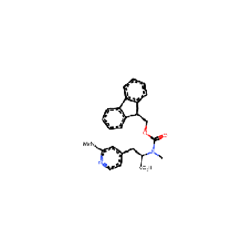 CNc1cc(CC(C(=O)O)N(C)C(=O)OCC2c3ccccc3-c3ccccc32)ccn1